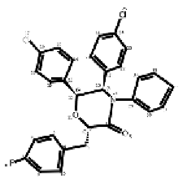 O=C1[C@H](Cc2ccc(F)cc2)O[C@@H](c2ccc(Cl)cc2)[C@@H](c2ccc(Cl)cc2)N1c1ccccc1